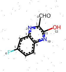 O=Cc1nc2cc(F)ccc2nc1O